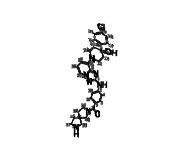 O=C(c1ccc(Nc2nc3c(N4CCC(O)(c5ccc(Cl)cc5)CC4)cccn3n2)cc1)N1CCC2(CCNC2)C1